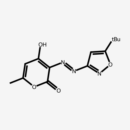 Cc1cc(O)c(N=Nc2cc(C(C)(C)C)on2)c(=O)o1